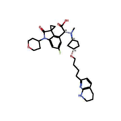 CN([C@H]1CC[C@H](OCCCCc2ccc3c(n2)NCCC3)C1)[C@@H](C(=O)O)c1cc(F)cc2c1C1(CC1)C(=O)N2C1CCOCC1